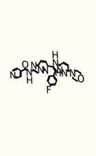 N=C(/C=C\c1nc(-c2ccc(F)cc2)c(-c2ccc3nc(NC(=O)c4ccncc4)cn3n2)[nH]1)N1CCOCC1